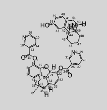 CN1CC[C@]23c4c5ccc(OC(=O)c6cccnc6)c4O[C@H]2[C@@H](OC(=O)c2cccnc2)C=C[C@H]3[C@H]1C5.Oc1ccc2c(c1)[C@@]13CCCC[C@H]1[C@@H](C2)NCC3